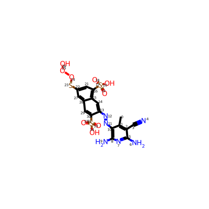 Cc1c(C#N)c(N)nc(N)c1/N=N/c1cc2c(S(=O)(=O)O)cc(SOOO)cc2cc1S(=O)(=O)O